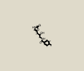 Cc1ccc(C(=O)NCC(O)Cc2c[nH]c(=O)o2)cc1